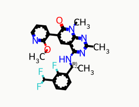 COc1ncccc1-c1cc2c(N[C@H](C)c3cccc(C(F)F)c3F)nc(C)nc2n(C)c1=O